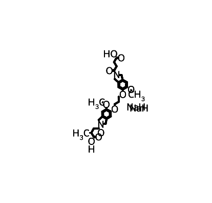 COc1cc2c(cc1OCCCOc1cc3c(cc1OC)CN(C(=O)C[C@H](C)C(=O)O)C3)CN(C(=O)CCC(=O)O)C2.[NaH].[NaH]